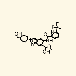 COC(O)c1cc2nn([C@H]3CC[C@H](CO)CC3)cc2cc1NC(=O)c1cccc(C(F)(F)F)n1